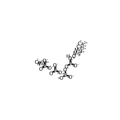 O.[Ca+2].[Ca+2].[Ca+2].[Mg+2].[Mg+2].[Mg+2].[O-]B([O-])[O-].[O-]B([O-])[O-].[O-]B([O-])[O-].[O-]B([O-])[O-]